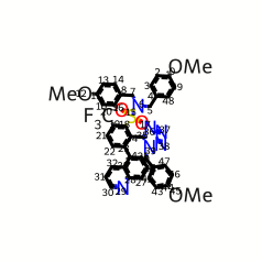 COc1ccc(CN(Cc2ccc(OC)cc2)S(=O)(=O)c2c(C(F)(F)F)ccc(-c3cccc4ncccc34)c2-c2nnnn2Cc2ccc(OC)cc2)cc1